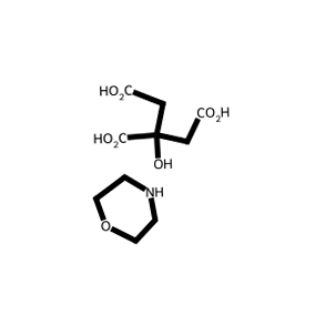 C1COCCN1.O=C(O)CC(O)(CC(=O)O)C(=O)O